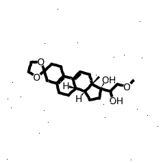 COCC(O)[C@@]1(O)CC[C@H]2[C@@H]3CCC4=C(CCC5(C4)OCCO5)C3=CC[C@@]21C